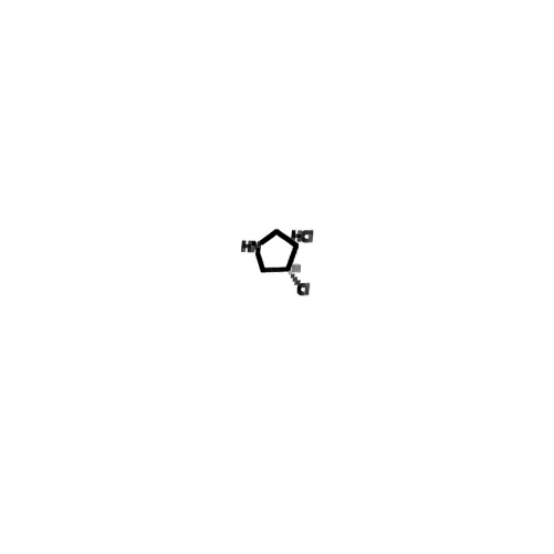 Cl.Cl[C@H]1CCNC1